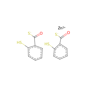 O=C([S-])c1ccccc1S.O=C([S-])c1ccccc1S.[Zn+2]